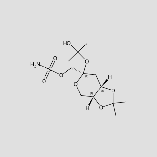 CC(C)(O)O[C@@]1(COS(N)(=O)=O)C[C@@H]2OC(C)(C)O[C@@H]2CO1